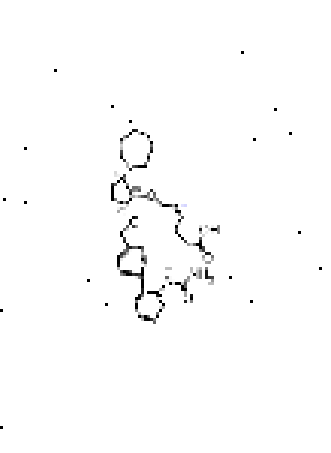 NC(=O)Nc1ccccc1-c1ccc(CO[C@@H]2CC[C@H](N3CCCCCC3)[C@H]2OC/C=C\CCC(=O)O)cc1